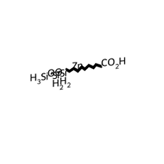 O=C(O)CCCCCCCCCC[SiH2]O[SiH2]O[SiH3].[Zn]